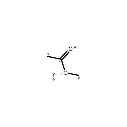 COC(C)=O.[Y]